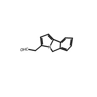 O=CCc1ccc2n1Cc1ccccc1-2